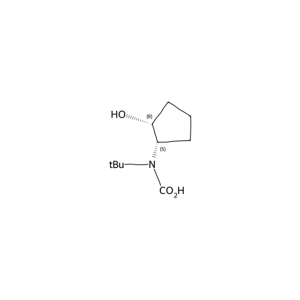 CC(C)(C)N(C(=O)O)[C@H]1CCC[C@H]1O